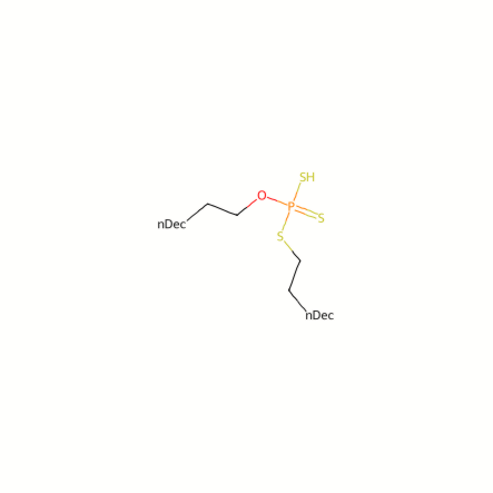 CCCCCCCCCCCCOP(=S)(S)SCCCCCCCCCCCC